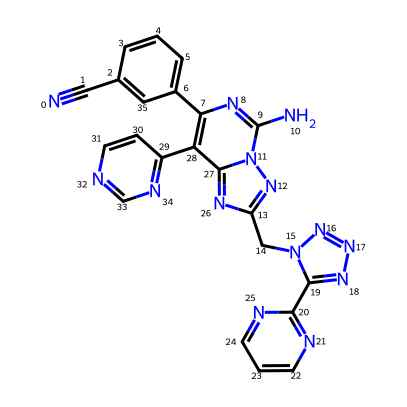 N#Cc1cccc(-c2nc(N)n3nc(Cn4nnnc4-c4ncccn4)nc3c2-c2ccncn2)c1